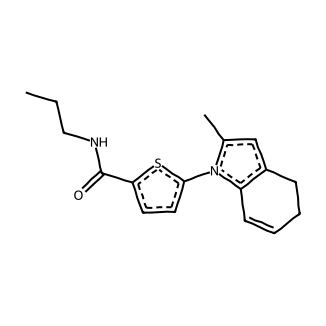 CCCNC(=O)c1ccc(-n2c(C)cc3c2C=CCC3)s1